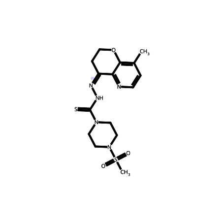 Cc1ccnc2c1OCC/C2=N/NC(=S)N1CCN(S(C)(=O)=O)CC1